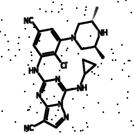 C[C@H]1CN(c2cc(C#N)cc(Nc3nc(NC4CC4)n4ncc(C#N)c4n3)c2Cl)C[C@H](C)N1